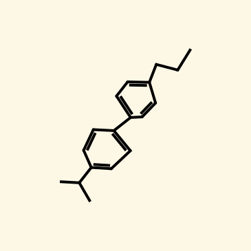 CCCc1ccc(-c2ccc(C(C)C)cc2)cc1